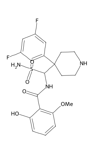 COc1cccc(O)c1C(=O)NC(C1(c2cc(F)cc(F)c2)CCNCC1)S(N)(=O)=O